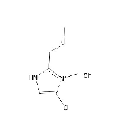 C=CCc1[nH]cc(Cl)[n+]1C.[Cl-]